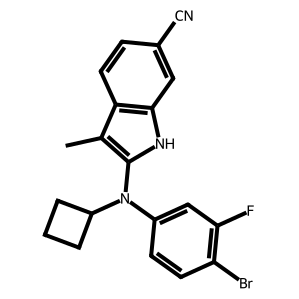 Cc1c(N(c2ccc(Br)c(F)c2)C2CCC2)[nH]c2cc(C#N)ccc12